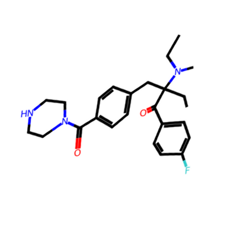 CCN(C)C(CC)(Cc1ccc(C(=O)N2CCNCC2)cc1)C(=O)c1ccc(F)cc1